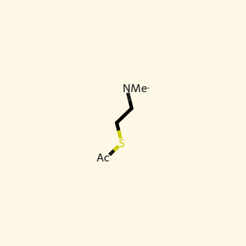 C[N]CCSC(C)=O